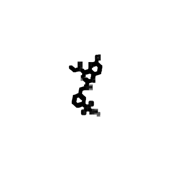 CCNc1nc(NCc2cccc(S(N)(=O)=O)c2)nc2ccc(Cl)nc12